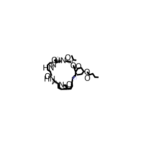 CCCC(=O)O[C@H]1CC[C@]2(/C=C/c3ccc4ccc(nc4c3)[C@@H](C)NC(=O)C3CCCN(N3)C(=O)[C@H](C)NC(=O)[C@H](C(C)C)OC2=O)CC1